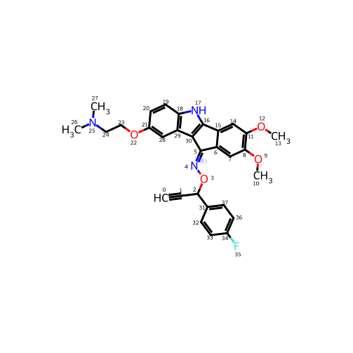 C#CC(O/N=C1\c2cc(OC)c(OC)cc2-c2[nH]c3ccc(OCCN(C)C)cc3c21)c1ccc(F)cc1